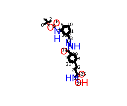 CC(C)(C)OC(=O)Nc1cccc(/C=N/NC(=O)c2ccc(/C=C/C(=O)NO)cc2)c1